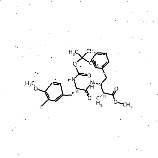 COC(=O)[C@H](C)N(Cc1ccccc1)NC(=O)[C@H](Cc1ccc(OC)c(I)c1)NC(=O)OC(C)(C)C